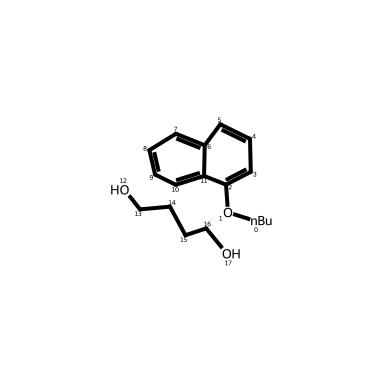 CCCCOc1cccc2ccccc12.OCCCCO